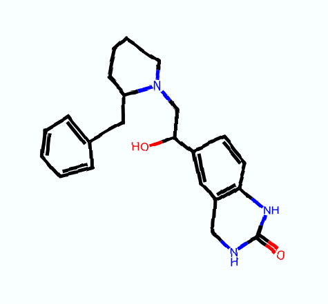 O=C1NCc2cc(C(O)CN3CCCCC3Cc3ccccc3)ccc2N1